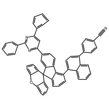 N#Cc1ccc(-c2ccc(-c3cccc4c3-c3ccc(-c5cc(-c6ccccc6)nc(-c6ccccc6)n5)cc3C43c4ccccc4Oc4ccccc43)c3ccccc23)cc1